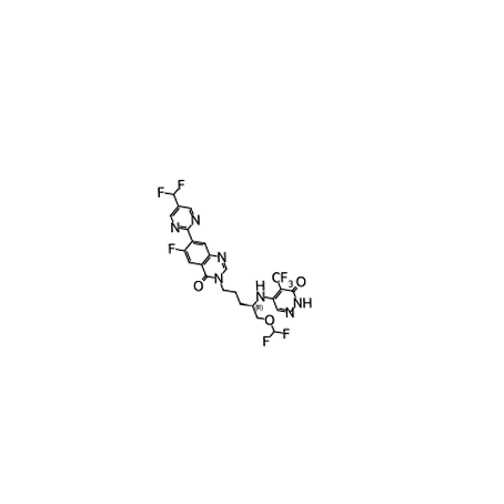 O=c1[nH]ncc(N[C@H](CCCn2cnc3cc(-c4ncc(C(F)F)cn4)c(F)cc3c2=O)COC(F)F)c1C(F)(F)F